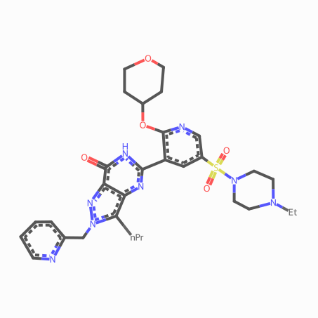 CCCc1c2nc(-c3cc(S(=O)(=O)N4CCN(CC)CC4)cnc3OC3CCOCC3)[nH]c(=O)c2nn1Cc1ccccn1